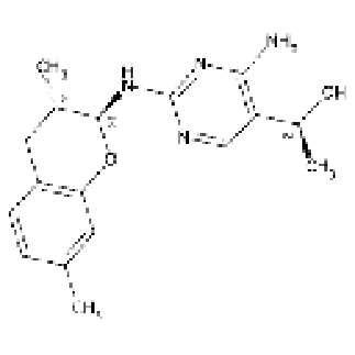 Cc1ccc2c(c1)O[C@H](Nc1ncc([C@H](C)O)c(N)n1)[C@@H](C)C2